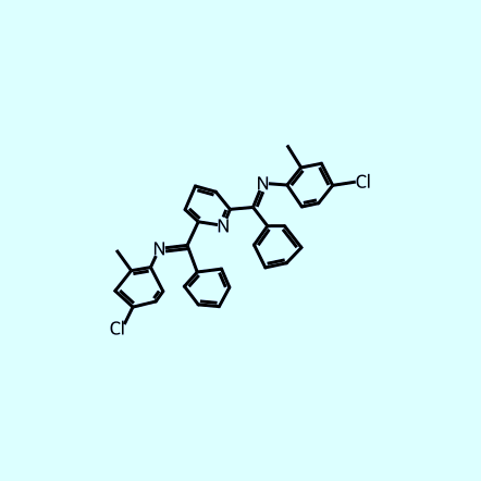 Cc1cc(Cl)ccc1/N=C(\c1ccccc1)c1cccc(/C(=N/c2ccc(Cl)cc2C)c2ccccc2)n1